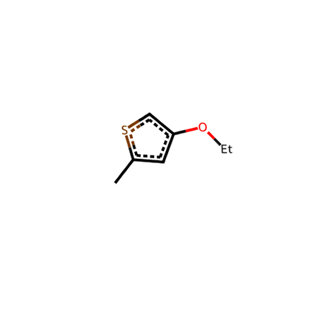 CCOc1csc(C)c1